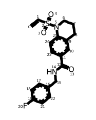 C=CS(=O)(=O)N1CCCc2cc(C(=O)NCc3ccc(F)cc3)ccc21